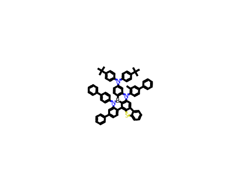 Cc1cc(-c2ccccc2)ccc1N1c2cc(N(c3ccc(C(C)(C)C)cc3)c3ccc(C(C)(C)C)cc3)ccc2B2c3c1cc1c(sc4ccccc41)c3-c1ccc(-c3ccccc3)cc1N2c1ccc(-c2ccccc2)cc1